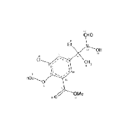 CCCCOc1c(Cl)cc(C(C)(CC)N(O)C=O)cc1C(=O)OC